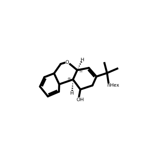 CCCCCCC(C)(C)C1=C[C@@H]2OCC3C=CC=CC3[C@@H]2C(O)C1